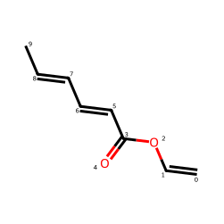 C=COC(=O)C=CC=CC